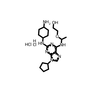 CC(Nc1nc(NC2CCC(N)CC2)nc2c1ncn2C1CCCC1)OCCO.Cl.Cl